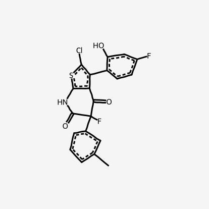 Cc1cccc(C2(F)C(=O)Nc3sc(Cl)c(-c4ccc(F)cc4O)c3C2=O)c1